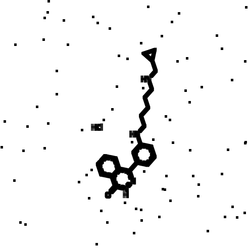 Cl.O=c1[nH]nc(-c2cccc(NCCCCCNCC3CC3)c2)c2ccccc12